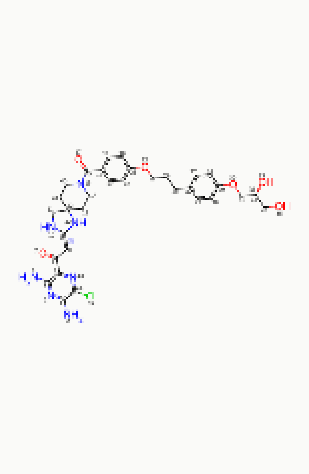 Nc1nc(N)c(C(=O)/C=C2\NCC3(CCN(C(=O)c4ccc(OCCCc5ccc(OC[C@@H](O)CO)cc5)cc4)CC3)N2)nc1Cl